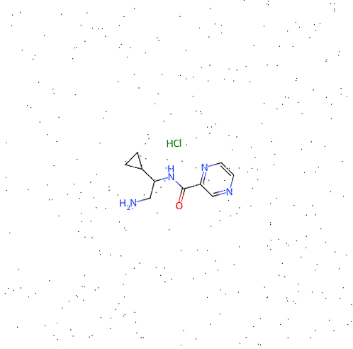 Cl.NCC(NC(=O)c1cnccn1)C1CC1